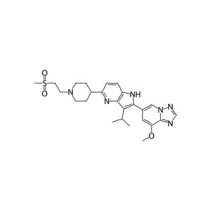 COc1cc(-c2[nH]c3ccc(C4CCN(CCS(C)(=O)=O)CC4)nc3c2C(C)C)cn2ncnc12